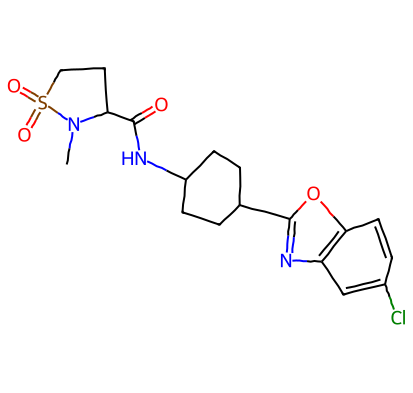 CN1C(C(=O)NC2CCC(c3nc4cc(Cl)ccc4o3)CC2)CCS1(=O)=O